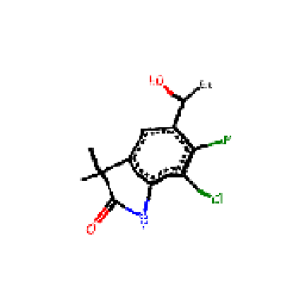 CCC(O)c1cc2c(c(Cl)c1F)NC(=O)C2(C)C